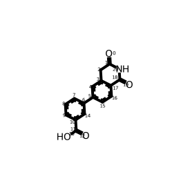 O=C1Cc2cc(-c3cccc(C(=O)O)c3)ccc2C(=O)N1